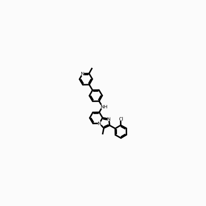 Cc1cc(-c2ccc(Nc3cccn4c(C)c(-c5ccccc5Cl)nc34)cc2)ccn1